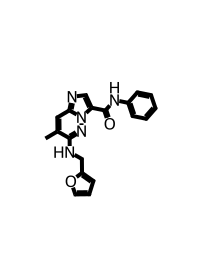 Cc1cc2ncc(C(=O)Nc3ccccc3)n2nc1NCc1ccco1